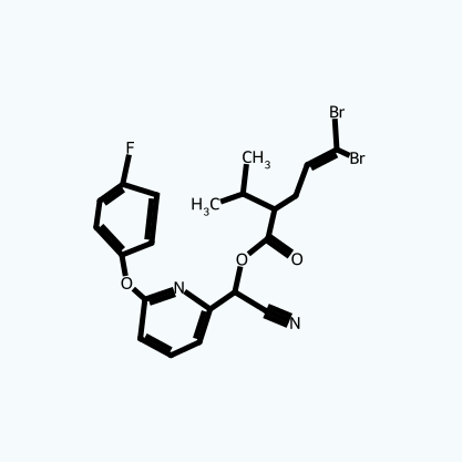 CC(C)C(CC=C(Br)Br)C(=O)OC(C#N)c1cccc(Oc2ccc(F)cc2)n1